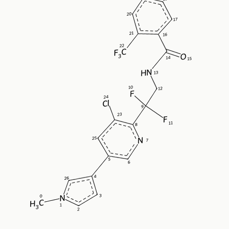 Cn1ccc(-c2cnc(C(F)(F)CNC(=O)c3ccccc3C(F)(F)F)c(Cl)c2)c1